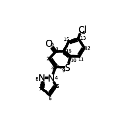 O=c1cc(-n2cccn2)sc2ccc(Cl)cc12